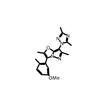 COc1ccc(C)c(-c2c(C)oc3c(-n4nc(C)nc4C)c(C)nn23)c1